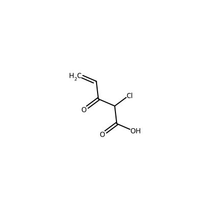 C=CC(=O)C(Cl)C(=O)O